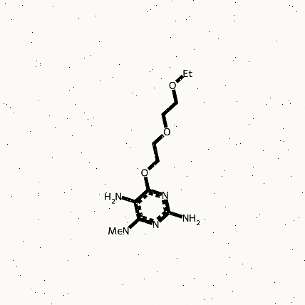 CCOCCOCCOc1nc(N)nc(NC)c1N